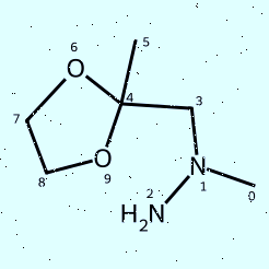 CN(N)CC1(C)OCCO1